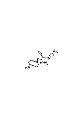 Nc1ccc(CC2NC(=O)C(Cc3ccc(N)cc3)NC2=O)cc1